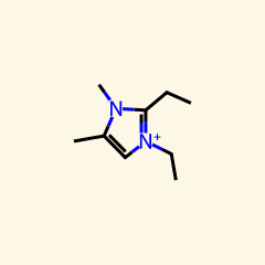 CCc1n(C)c(C)c[n+]1CC